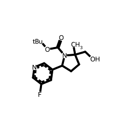 CC(C)(C)OC(=O)N1C(c2cncc(F)c2)CCC1(C)CO